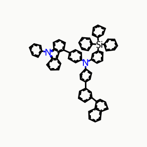 c1ccc(-n2c3ccccc3c3c(-c4ccc(N(c5ccc(-c6cccc(-c7cccc8ccccc78)c6)cc5)c5cccc([Si](c6ccccc6)(c6ccccc6)c6ccccc6)c5)cc4)cccc32)cc1